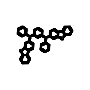 c1ccc(N(c2cccc(N(c3ccccc3)c3ccc4c(c3)oc3ccccc34)c2)c2ccc3c(c2)oc2ccccc23)cc1